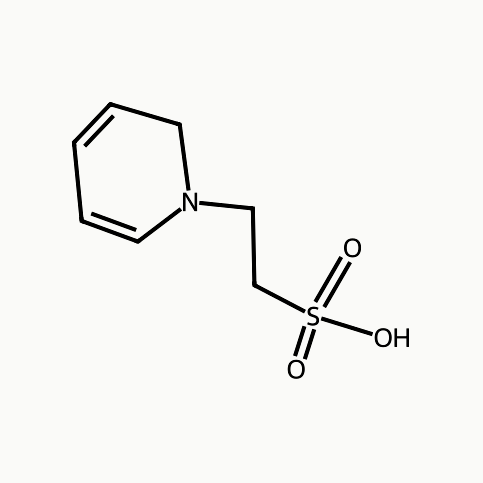 O=S(=O)(O)CCN1C=CC=CC1